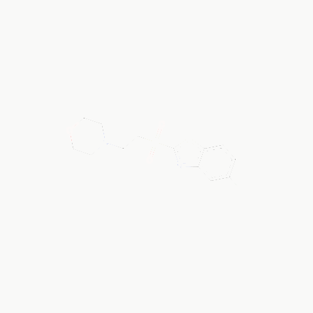 O=S(=O)(CCN1CCOCC1)c1nc2cc(Cl)ccc2s1